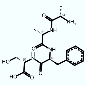 C[C@H](N)C(=O)N[C@@H](C)C(=O)N[C@@H](Cc1ccccc1)C(=O)N[C@@H](CO)C(=O)O